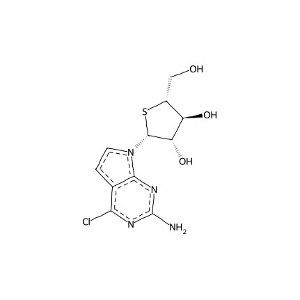 Nc1nc(Cl)c2ccn([C@@H]3S[C@H](CO)[C@@H](O)[C@@H]3O)c2n1